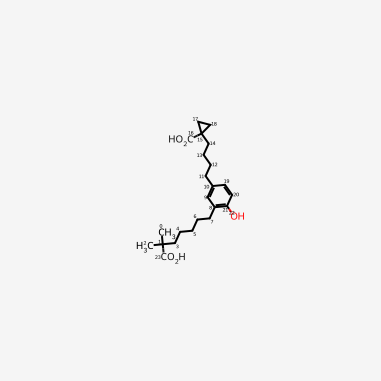 CC(C)(CCCCCc1cc(CCCCC2(C(=O)O)CC2)ccc1O)C(=O)O